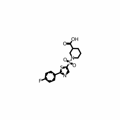 O=C(O)C1CCCN(S(=O)(=O)c2cnc(-c3ccc(F)cc3)s2)C1